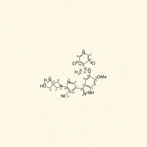 COc1cc2[nH]nc(-c3cnc(N4CC(N)(CO)C4)c(C#N)c3)c2cc1O[C@H](C)c1c(Cl)cncc1Cl